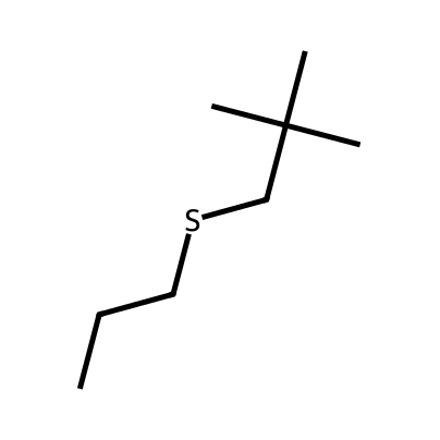 CCCSCC(C)(C)C